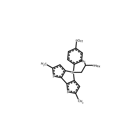 CCCCCCCCc1ccc([Si]2(CC(CCCC)CCCCCC)c3cc(C)sc3-c3sc(C)cc32)cc1